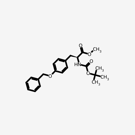 COC(=O)[C@H](Cc1ccc(OCc2ccccc2)cc1)NC(=O)OC(C)(C)C